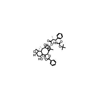 CC1=C2[C@@H](OC(=O)c3ccccc3)C(=O)[C@@]3(C)C([C@H](C)[C@](O)(C[C@@H]1OC(=O)[C@H](C)[C@@H](NC(=O)OC(C)(C)C)c1ccccc1)C2(C)C)[C@]1(C)CO[C@@H]1C[C@@H]3O